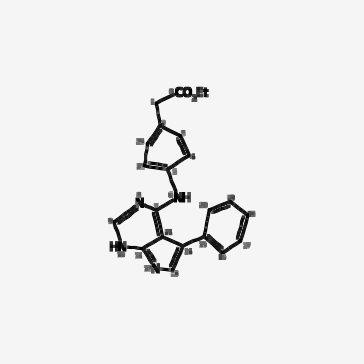 CCOC(=O)Cc1ccc(Nc2nc[nH]c3ncc(-c4ccccc4)c2-3)cc1